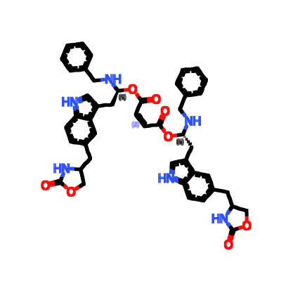 O=C(/C=C\C(=O)O[C@@H](Cc1c[nH]c2ccc(CC3COC(=O)N3)cc12)NCc1ccccc1)O[C@@H](Cc1c[nH]c2ccc(CC3COC(=O)N3)cc12)NCc1ccccc1